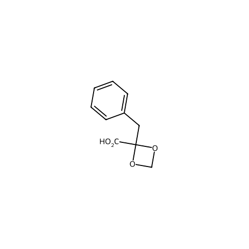 O=C(O)C1(Cc2ccccc2)OCO1